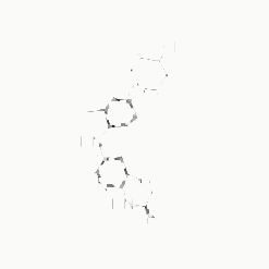 Cc1cc(N2CCC(C(F)(F)F)CC2)ccc1Nc1cnc2c(c1)OCC(=O)N2